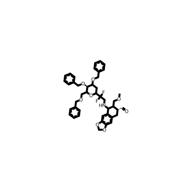 COCC1C(NCC(F)(F)C2CC(OCc3ccccc3)[C@H](OCc3ccccc3)C(COCc3ccccc3)O2)c2cc3c(cc2C[C@H]1C=O)OCO3